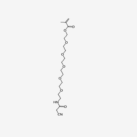 C=C(C)C(=O)OCCOCCOCCOCCOCCOCCNC(=O)CC#N